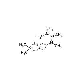 C=C(N(C)C)N(C)C1CC(CC(C)(C)C)C1